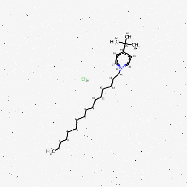 CCCCCCCCCCCCCCCC[n+]1ccc(C(C)(C)C)cc1.[Cl-]